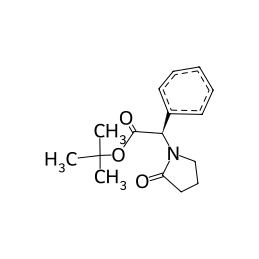 CC(C)(C)OC(=O)[C@@H](c1ccccc1)N1CCCC1=O